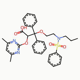 CCCN(CCOC(c1ccccc1)(c1ccccc1)C(Oc1nc(C)cc(C)n1)C(=O)O)S(=O)(=O)c1ccccc1